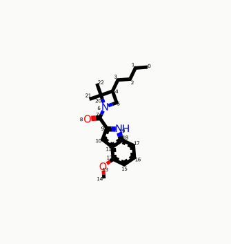 CCCCC1CN(C(=O)c2cc3c(OC)cccc3[nH]2)C1(C)C